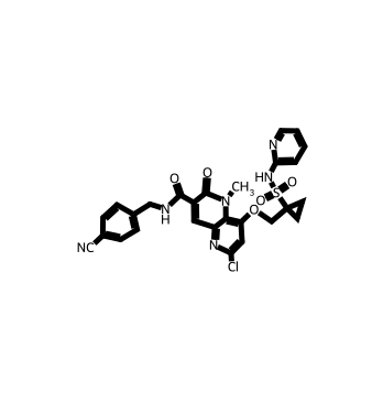 Cn1c(=O)c(C(=O)NCc2ccc(C#N)cc2)cc2nc(Cl)cc(OCC3(S(=O)(=O)Nc4ccccn4)CC3)c21